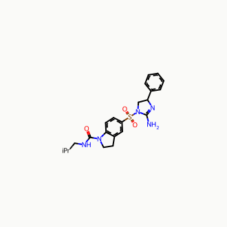 CC(C)CNC(=O)N1CCc2cc(S(=O)(=O)N3CC(c4ccccc4)N=C3N)ccc21